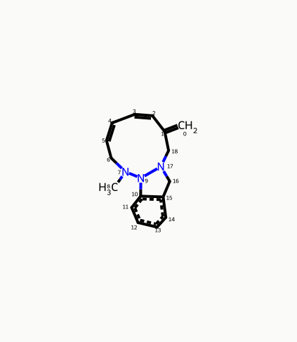 C=C1/C=C\C=C/CN(C)N2c3ccccc3CN2C1